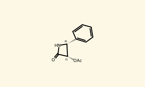 CC(=O)O[C@@H]1C(=O)N[C@@H]1c1ccccc1